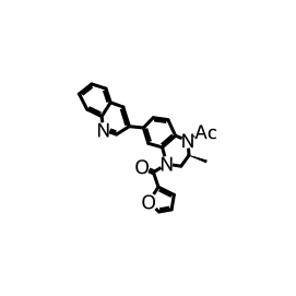 CC(=O)N1c2ccc(-c3cnc4ccccc4c3)cc2N(C(=O)c2ccco2)C[C@@H]1C